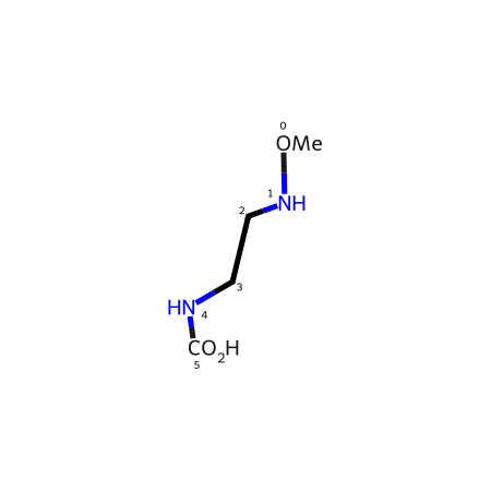 CONCCNC(=O)O